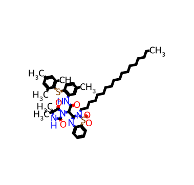 CCCCCCCCCCCCCCCCCCN1C(C(C(=O)Nc2cc(C)ccc2Sc2c(C)cc(C)cc2C)N2C(=O)NC(C)(C)C2=O)=Nc2ccccc2S1(=O)=O